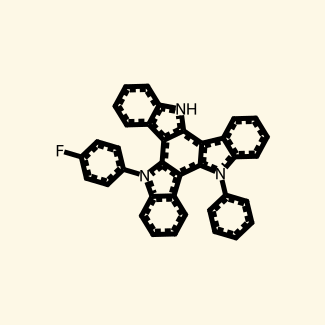 Fc1ccc(-n2c3ccccc3c3c4c(c5ccccc5n4-c4ccccc4)c4[nH]c5ccccc5c4c32)cc1